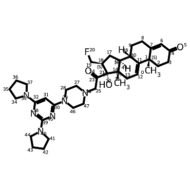 C[C@]12CCC(=O)C=C1CC[C@@H]1C2=CC[C@@]2(C)[C@H]1C[C@H](CF)[C@]2(O)C(=O)CN1CCN(c2cc(N3CCCC3)nc(N3CCCC3)n2)CC1